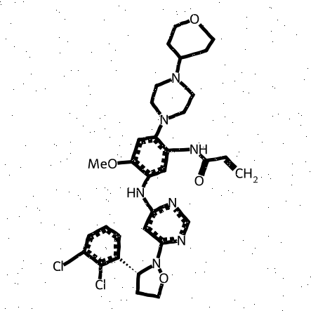 C=CC(=O)Nc1cc(Nc2cc(N3OCC[C@@H]3c3cccc(Cl)c3Cl)ncn2)c(OC)cc1N1CCN(C2CCOCC2)CC1